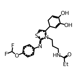 CCC(=O)NCCCn1c(C2C=C(O)C(O)=CC2)cs/c1=N\c1ccc(OC(F)F)cc1